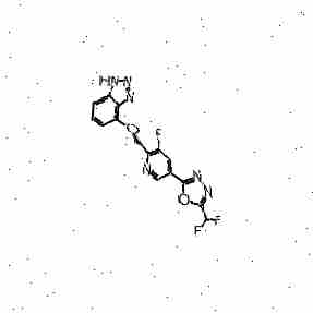 Fc1cc(-c2nnc(C(F)F)o2)cnc1COc1cccc2[nH]nnc12